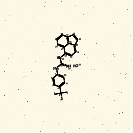 CC(C)(C)c1ccc(NC(=N)Nc2ccc3c4c(cccc24)C=C3)cc1.Cl